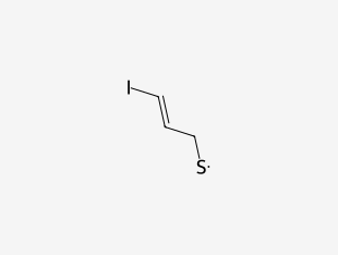 [S]CC=CI